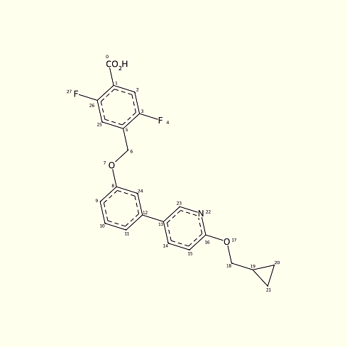 O=C(O)c1cc(F)c(COc2cccc(-c3ccc(OCC4CC4)nc3)c2)cc1F